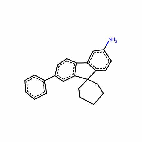 Nc1ccc2c(c1)-c1ccc(-c3ccccc3)cc1C21CCCCC1